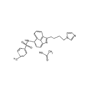 CC(=O)O.Cc1ccc(S(=O)(=O)Nc2ccc3c4c(cccc24)C(CCCCn2ccnc2)=N3)cc1